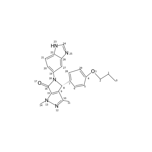 CCCOc1ccc([C@@H]2c3c(C)nn(C)c3C(=O)N2c2ccc3[nH]cnc3c2)cc1